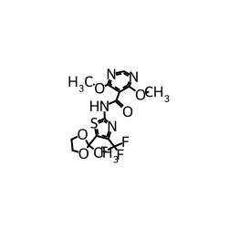 COc1ncnc(OC)c1C(=O)Nc1nc(C(F)(F)F)c(C2(C)OCCO2)s1